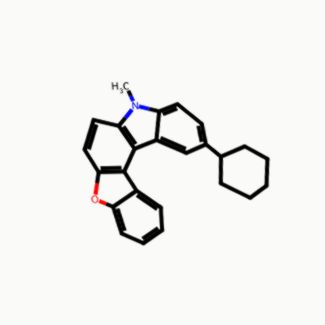 Cn1c2ccc(C3CCCCC3)cc2c2c3c(ccc21)oc1ccccc13